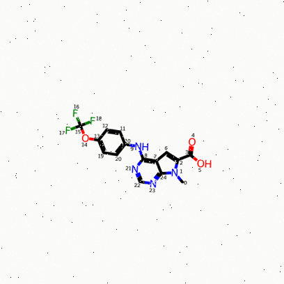 Cn1c(C(=O)O)cc2c(Nc3ccc(OC(F)(F)F)cc3)ncnc21